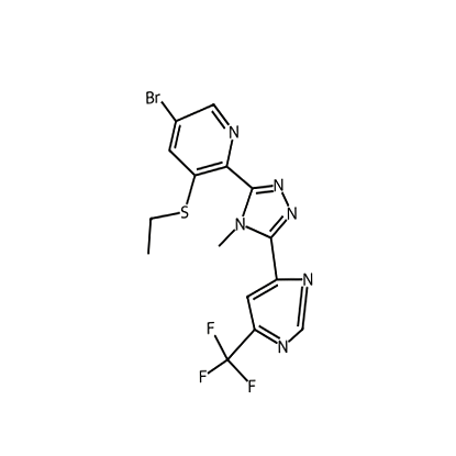 CCSc1cc(Br)cnc1-c1nnc(-c2cc(C(F)(F)F)ncn2)n1C